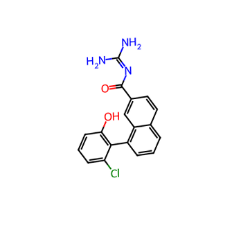 NC(N)=NC(=O)c1ccc2cccc(-c3c(O)cccc3Cl)c2c1